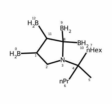 BC1CN(C(C)(CCC)CCCCCC)C(B)(B)C1B